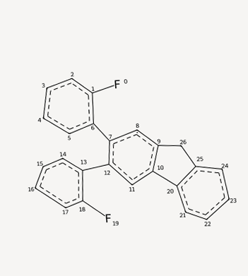 Fc1ccccc1-c1[c]c2c(cc1-c1ccccc1F)-c1ccccc1C2